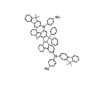 CC(C)(C)c1ccc(N(c2ccc3c(c2)C(C)(C)c2ccccc2-3)c2ccc3c4c(c5ccccc5c3c2)-c2c(cc(N(c3ccc(C(C)(C)C)cc3)c3ccc5c(c3)C(C)(C)c3ccccc3-5)c3c2oc2ccccc23)C4(c2ccccc2)c2ccccc2)cc1